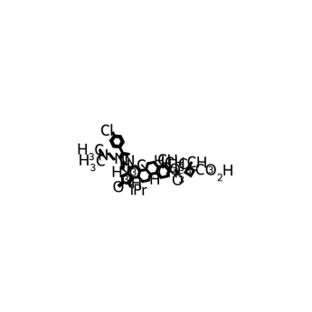 CC(C)C1=C2[C@H]3CC[C@@H]4[C@@]5(C)CC[C@H](OC(=O)[C@H]6C[C@@H](C(=O)O)C6(C)C)C(C)(C)[C@@H]5CC[C@@]4(C)[C@]3(C)CC[C@@]2(Cc2ncc(-c3ccc(Cl)cc3)n2CCN(C)C)CC1=O